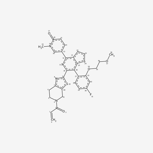 C=CC(=O)N1CCc2nc(-c3nc(-c4ccc(=O)n(C)c4)c4ccsc4c3-c3ccc(F)cc3OCCOC)sc2C1